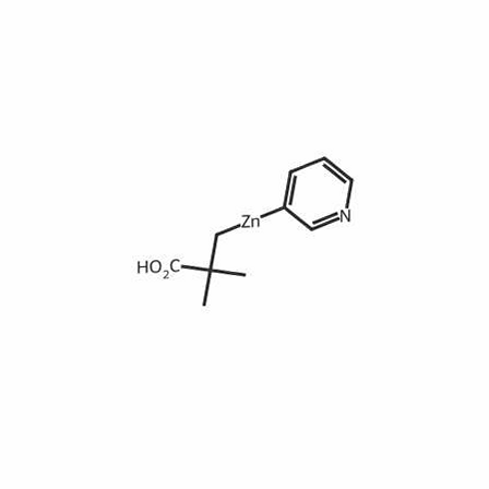 CC(C)([CH2][Zn][c]1cccnc1)C(=O)O